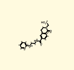 O=C(O)CN1CCc2cc(C(=O)NCCNc3ccccn3)ccc2C1=O